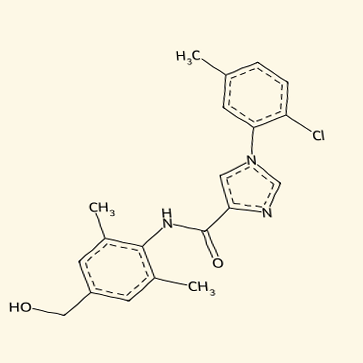 Cc1ccc(Cl)c(-n2cnc(C(=O)Nc3c(C)cc(CO)cc3C)c2)c1